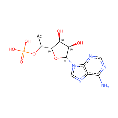 CC(=O)C(OP(=O)(O)O)[C@H]1O[C@@H](n2cnc3c(N)ncnc32)[C@H](O)[C@@H]1O